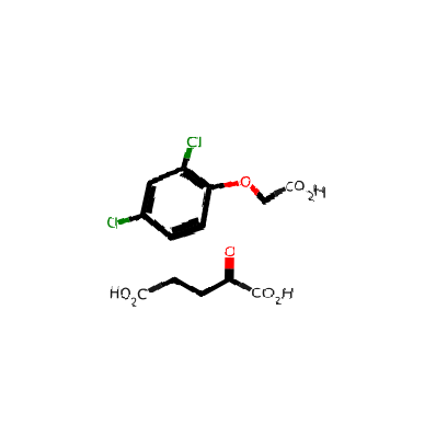 O=C(O)CCC(=O)C(=O)O.O=C(O)COc1ccc(Cl)cc1Cl